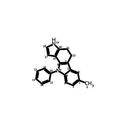 Cc1ccc2c(c1)c1c(n2-c2ccccc2)-c2cc[nH]c2CC1